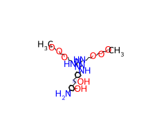 COCCOCCOCCCNc1nc(NCCCOCCOCCOC)nc(Nc2ccc(/C=C/c3ccc(N)cc3O)c(O)c2)n1